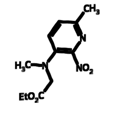 CCOC(=O)CN(C)c1ccc(C)nc1[N+](=O)[O-]